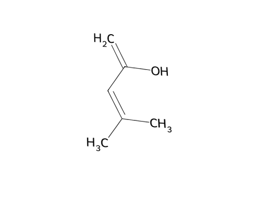 C=C(O)C=C(C)C